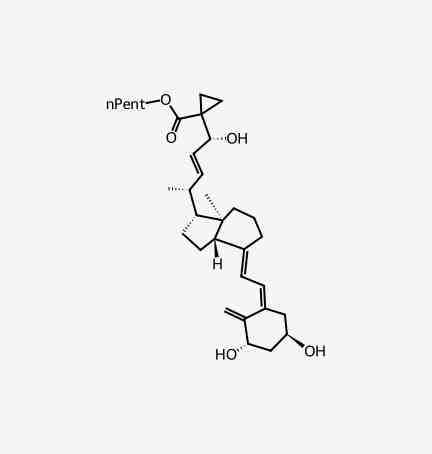 C=C1/C(=C\C=C2/CCC[C@]3(C)[C@@H]([C@H](C)/C=C/[C@@H](O)C4(C(=O)OCCCCC)CC4)CC[C@@H]23)C[C@@H](O)C[C@@H]1O